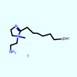 CCCCCCCCCCCCCCCCC1=NCC[N+]1(C)CCN.[I-]